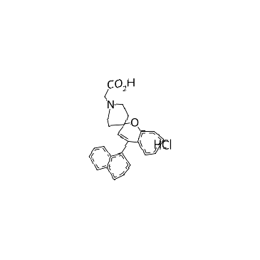 Cl.O=C(O)CN1CCC2(C=C(c3cccc4ccccc34)c3ccccc3O2)CC1